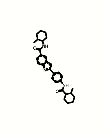 CC1CCCCC1NC(=O)c1ccc2[nH]c(-c3ccc(NC(=O)C4CCCCC4C)cc3)cc2c1